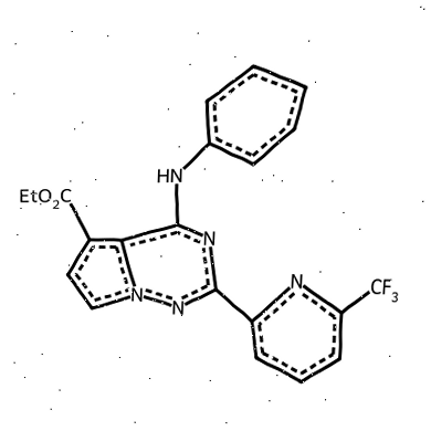 CCOC(=O)c1ccn2nc(-c3cccc(C(F)(F)F)n3)nc(Nc3ccccc3)c12